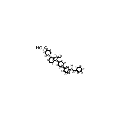 O=C(O)C1CCN(C2CCCC3C2OC(=O)N3C2CCN(c3ccnc(NCc4ccccc4)n3)CC2)CC1